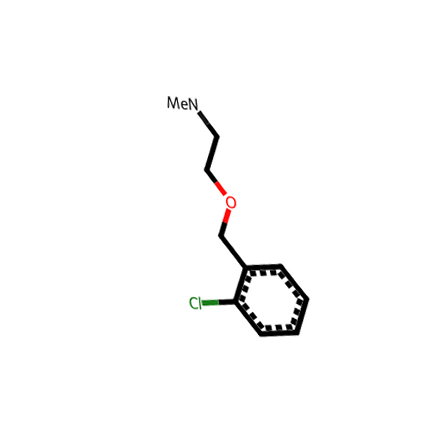 CNCCOCc1ccccc1Cl